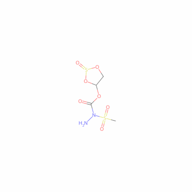 CS(=O)(=O)N(N)C(=O)OC1COS(=O)O1